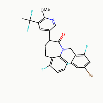 COc1ncc(C2CCc3c(F)cccc3N(Cc3c(F)cc(Br)cc3F)C2=O)cc1C(C)(F)F